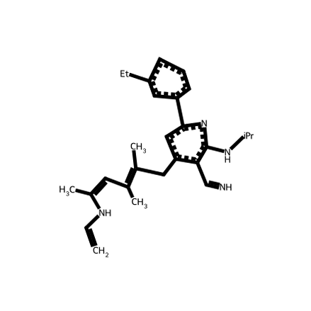 C=CN/C(C)=C\C(C)=C(/C)Cc1cc(-c2cccc(CC)c2)nc(NC(C)C)c1C=N